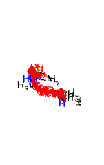 CN[C@@H](C)C(=O)N[C@H](C(=O)N1CCC[C@H]1c1nc(-c2ccc(OCCOCCOCCOCCOCCN(C)C(=O)CCNc3nc(N4CCN(C(C)=O)CC4)c4cc(Cl)c(-c5cc(O)cc6ccccc56)c(F)c4n3)c3ccccc23)cs1)C1CCCCC1